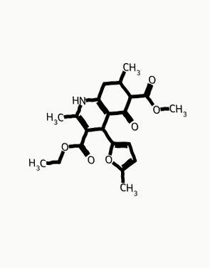 CCOC(=O)C1=C(C)NC2=C(C(=O)C(C(=O)OC)C(C)C2)C1c1ccc(C)o1